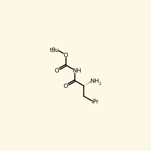 CC(C)C[C@@H](N)C(=O)NC(=O)OC(C)(C)C